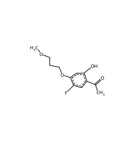 COCCCOc1cc(O)c(C(C)=O)cc1F